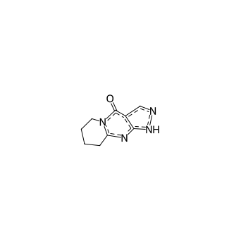 O=c1c2cn[nH]c2nc2n1CCCC2